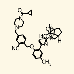 Cc1ccc(OCc2ccc(CN3CCN(C(=O)C4CC4)CC3)cc2C#N)c(-c2csc(N3C[C@H]4CC[C@@H](C3)[C@H]4C(O)O)n2)c1